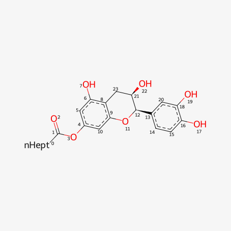 CCCCCCCC(=O)Oc1cc(O)c2c(c1)O[C@H](c1ccc(O)c(O)c1)[C@H](O)C2